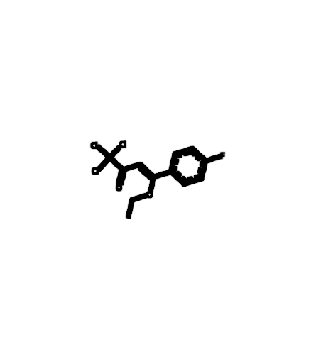 CCOC(=CC(=O)C(Cl)(Cl)Cl)c1ccc(F)cc1